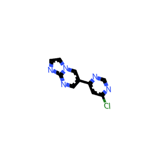 Clc1cc(-c2cnc3nccn3c2)ncn1